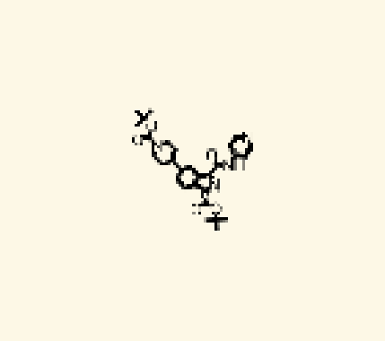 CC(C)(C)OC(=O)N1CC=C(c2ccc3c(c2)c(C(=O)Nc2ccncc2)nn3C(=O)OC(C)(C)C)CC1